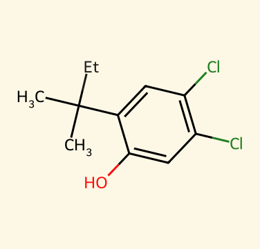 CCC(C)(C)c1cc(Cl)c(Cl)cc1O